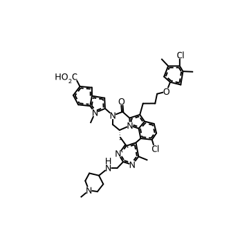 Cc1cc(OCCCc2c3n(c4c(-c5c(C)nc(CNC6CCN(C)CC6)nc5C)c(Cl)ccc24)[C@H](C)CN(c2cc4cc(C(=O)O)ccc4n2C)C3=O)cc(C)c1Cl